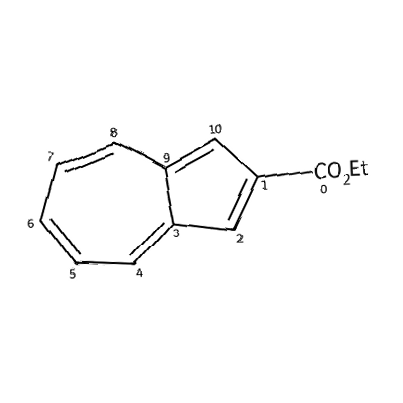 CCOC(=O)c1cc2cccccc-2c1